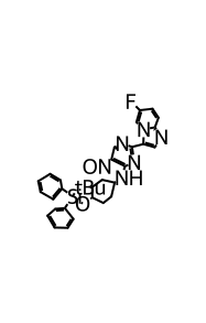 CC(C)(C)[Si](O[C@H]1CC[C@H](Nc2nc(-c3cnc4ccc(F)cn34)ncc2N=O)CC1)(c1ccccc1)c1ccccc1